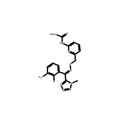 CCCCCC(=O)Nc1cccc(CO/N=C(\c2cccc(C(F)(F)F)c2F)c2nnnn2C)n1